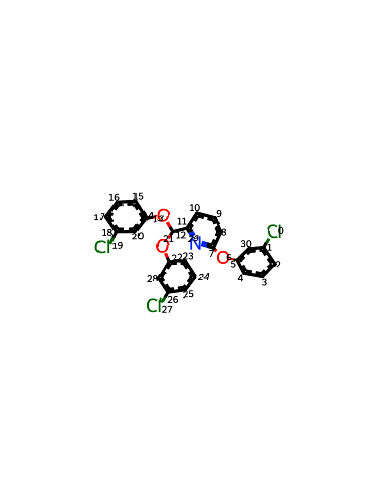 Clc1cccc(Oc2cccc(C(Oc3cccc(Cl)c3)Oc3cccc(Cl)c3)n2)c1